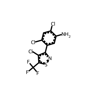 Nc1cc(-c2nsc(C(F)(F)F)c2Cl)c(Cl)cc1Cl